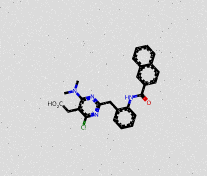 CN(C)c1nc(Cc2ccccc2NC(=O)c2ccc3ccccc3c2)nc(Cl)c1CC(=O)O